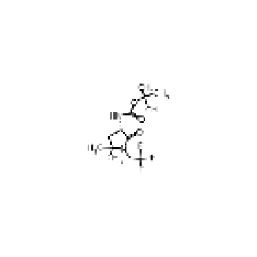 CC(C)(C)OC(=O)N[C@H]1CC(C)(C)N(CC(F)(F)F)C1=O